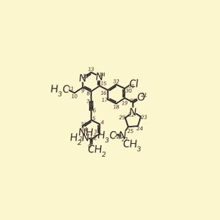 C=C(N)/C=C\C(C#Cc1c(CC)ncnc1-c1ccc(C(=O)N2CCC(N(C)C)C2)c(Cl)c1)=C/N